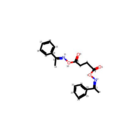 CC(=NOC(=O)CCC(=O)ON=C(C)c1ccccc1)c1ccccc1